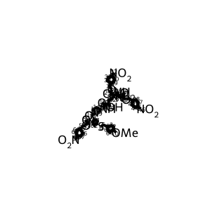 COc1ccc(CS[C@H]2C[C@@H](C(=O)N3CC[C@H](NC(=O)C(O)CCN(C(=O)OCc4ccc([N+](=O)[O-])cc4)C(N)=NC(=O)OCc4ccc([N+](=O)[O-])cc4)C3)N(C(=O)OCc3ccc([N+](=O)[O-])cc3)C2)cc1